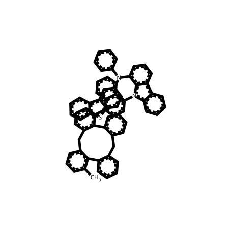 Cc1cccc2c1-c1ccccc1Cc1ccccc1-c1c(cccc1-c1ccc(-n3c4ccccc4c4cccc(N(c5ccccc5)c5ccc6sc7ccccc7c6c5)c43)c3ccccc13)C2